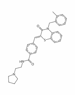 Cc1ccccc1CN1C(=O)C(=Cc2ccc(C(=O)NCCN3CCCC3)cc2)Sc2ccccc21